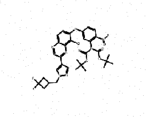 CC(C)(C)OC(=O)N(C(=O)OC(C)(C)C)c1cc(Oc2ccc3ncc(-c4cnn(CC5CC(F)(F)C5)c4)nc3c2Cl)ccc1[N+](=O)[O-]